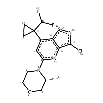 C[C@@H]1COCCN1c1cc(C2(C(F)F)CC2)c2snc(Cl)c2n1